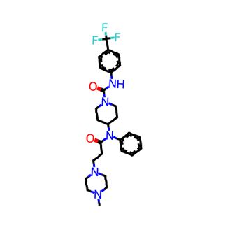 CN1CCN(CCC(=O)N(c2ccccc2)C2CCN(C(=O)Nc3ccc(C(F)(F)F)cc3)CC2)CC1